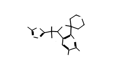 Cc1nnc(C(C)(C)C2OC3(CCNCC3)c3nc(C)c(Cl)cc32)o1